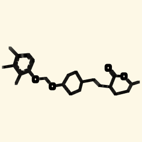 Cc1ccc(OCOC2CCC(CCC3CCC(C)OC3=O)CC2)c(C)c1C